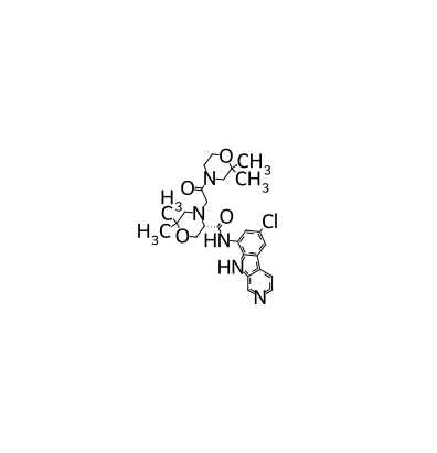 CC1(C)CN(C(=O)CN2CC(C)(C)OC[C@H]2C(=O)Nc2cc(Cl)cc3c2[nH]c2cnccc23)CCO1